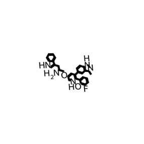 Cc1n[nH]c2ccc(-c3cc(OC[C@@H](N)Cc4c[nH]c5ccccc45)cnc3-c3cccc(F)c3O)cc12